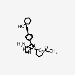 C=CC(=O)N1CCCC(n2nc(-c3ccc(C#CC4(O)CCCCC4)cc3)c3c(N)ncnc32)C1